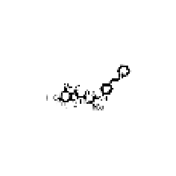 CCCCC(NC(=O)c1[nH]c2c(c1C)C(=O)CC(C)(C)C2)C(=O)Nc1ccc(CCN2CCCCC2)cc1